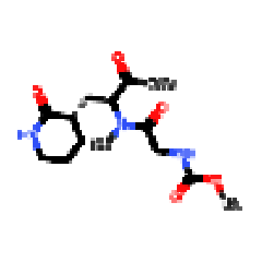 COC(=O)[C@H](C[C@@H]1CCCNC1=O)N(C(=O)CNC(=O)OC(C)(C)C)C(C)(C)C